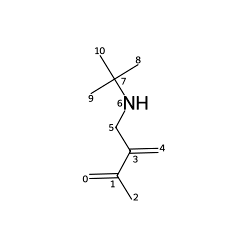 C=C(C)C(=C)CNC(C)(C)C